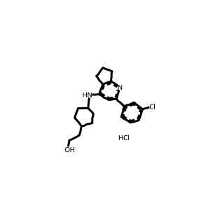 Cl.OCCC1CCC(Nc2cc(-c3cccc(Cl)c3)nc3c2CCC3)CC1